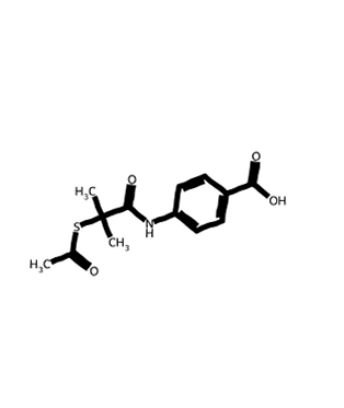 CC(=O)SC(C)(C)C(=O)Nc1ccc(C(=O)O)cc1